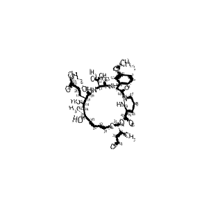 COc1cccc(C2NC(=O)[C@H](C(C)C)NC(=O)[C@H](CCC(C)=O)[C@H](O)[C@@H](C)[C@@H](O)/C=C/C=C/C[C@@H](/C(C)=C/C=O)OC(=O)C3CCCN(N3)C2=O)c1